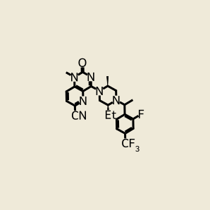 CC[C@H]1CN(c2nc(=O)n(C)c3ccc(C#N)nc23)[C@@H](C)CN1C(C)c1ccc(C(F)(F)F)cc1F